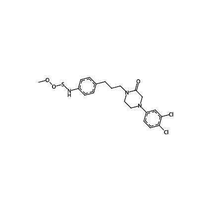 COOSNc1ccc(CCCN2CCN(c3ccc(Cl)c(Cl)c3)CC2=O)cc1